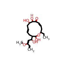 C=C/C(=C\C(O)C1C/C=C/CC(O)C(O)C(=O)/C=C\CC(CC)OC1O)OC